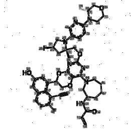 C#Cc1c(F)ccc2cc(O)cc(C3COc4c(nc(OC[C@]5(C)C[C@@H](F)CN5c5ccc(N6CCOC[C@H]6C)nc5)nc4N4CCCCC(NC(=O)C=C)C4)O3)c12